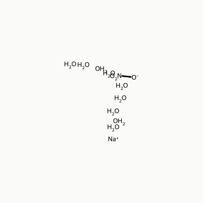 O.O.O.O.O.O.O.O.O.O=[N+]([O-])[O-].[Na+]